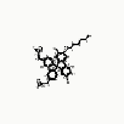 CCCCCCOc1cc2c(cc1C)C(c1ccc(CC3CO3)cc1)(c1ccc(CC3CO3)cc1)c1cc(C)ccc1-2